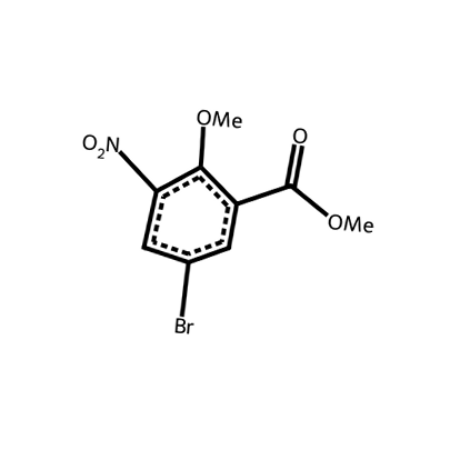 COC(=O)c1cc(Br)cc([N+](=O)[O-])c1OC